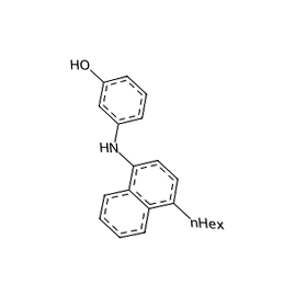 CCCCCCc1ccc(Nc2cccc(O)c2)c2ccccc12